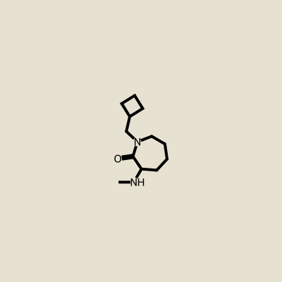 CNC1CCCCN(CC2CCC2)C1=O